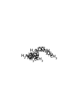 COc1ccc(CNc2ccc3c(n2)=CC(N(C)CC2=C[C@@H](n4ccc5c(N)ncnc54)[C@@H]4OC(C)(C)O[C@H]24)CC=3)cc1